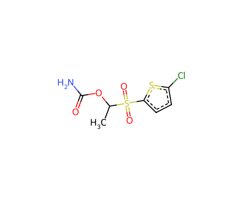 CC(OC(N)=O)S(=O)(=O)c1ccc(Cl)s1